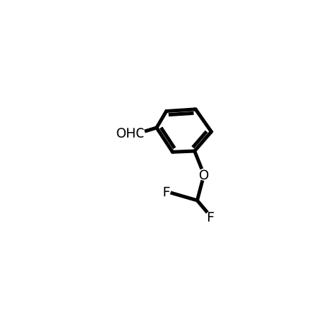 O=Cc1cccc(OC(F)F)c1